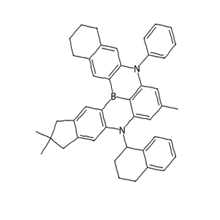 Cc1cc2c3c(c1)N(C1CCCc4ccccc41)c1cc4c(cc1B3c1cc3c(cc1N2c1ccccc1)CCCC3)CC(C)(C)C4